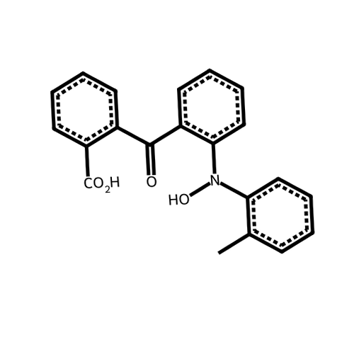 Cc1ccccc1N(O)c1ccccc1C(=O)c1ccccc1C(=O)O